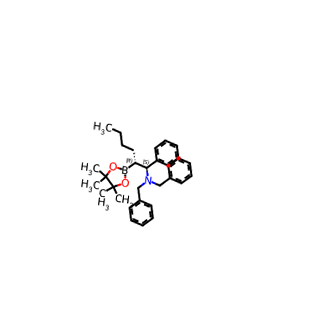 CCCC[C@@H](B1OC(C)(C)C(C)(C)O1)[C@@H](c1ccccc1)N(Cc1ccccc1)Cc1ccccc1